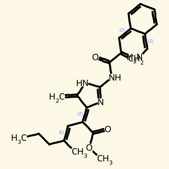 C=C(/C=c1/cccc/c1=C/N)C(=O)Nc1n/c(=C(/C=C(\C)CCC)C(=O)OC)c(=C)[nH]1